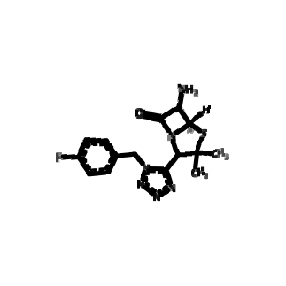 CC1(C)S[C@H]2C(N)C(=O)N2C1c1nnnn1Cc1ccc(F)cc1